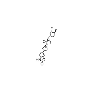 O=C1[C@@H](N2CCC(c3ccc4[nH]c(=O)oc4c3)CC2)CCN1Cc1ccc(F)c(F)c1